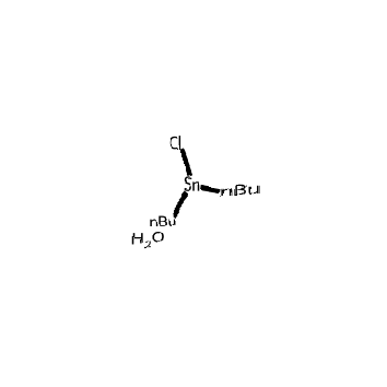 CCC[CH2][Sn]([Cl])[CH2]CCC.O